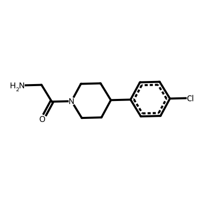 NCC(=O)N1CCC(c2ccc(Cl)cc2)CC1